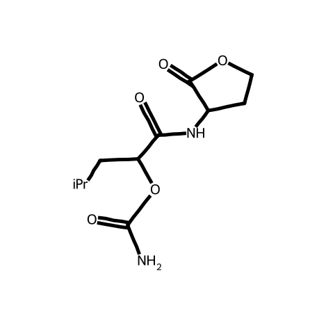 CC(C)CC(OC(N)=O)C(=O)NC1CCOC1=O